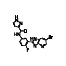 O=C(Nc1ccc(F)c(-c2nc3ncc(Br)cc3[nH]2)c1)c1cc[nH]n1